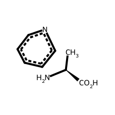 C[C@H](N)C(=O)O.c1ccncc1